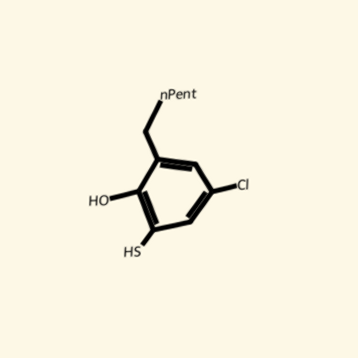 CCCCCCc1cc(Cl)cc(S)c1O